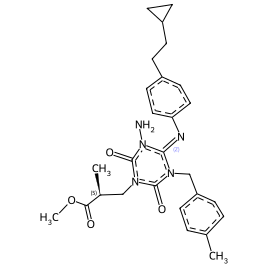 COC(=O)[C@@H](C)Cn1c(=O)n(N)/c(=N\c2ccc(CCC3CC3)cc2)n(Cc2ccc(C)cc2)c1=O